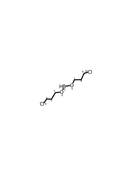 ClCCCOBOCCCCl